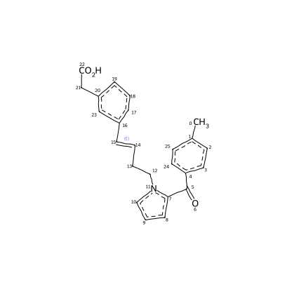 Cc1ccc(C(=O)c2cccn2CC/C=C/c2cccc(CC(=O)O)c2)cc1